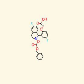 O=C(O)COc1ccc(F)cc1C1c2ccc(F)cc2CCN1OC(=O)OCc1ccccc1